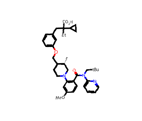 CCC(Cc1cccc(OCC2CCN(c3cc(OC)ccc3C(=O)N(CC(C)(C)C)c3ccccn3)C[C@H]2C)c1)(C(=O)O)C1CC1